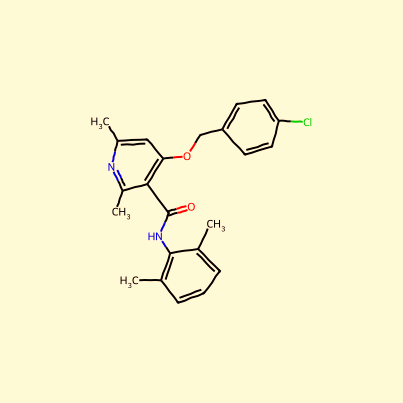 Cc1cc(OCc2ccc(Cl)cc2)c(C(=O)Nc2c(C)cccc2C)c(C)n1